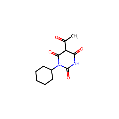 CC(=O)C1C(=O)NC(=O)N(C2CCCCC2)C1=O